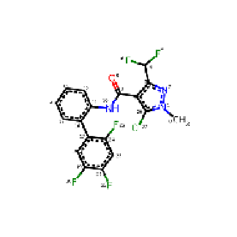 Cn1nc(C(F)F)c(C(=O)Nc2ccccc2-c2cc(F)c(F)cc2F)c1Cl